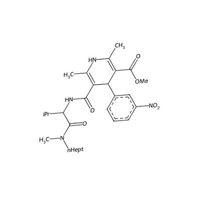 CCCCCCCN(C)C(=O)C(NC(=O)C1=C(C)NC(C)=C(C(=O)OC)C1c1cccc([N+](=O)[O-])c1)C(C)C